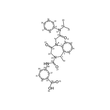 CC1c2ccccc2N(CC(=O)N(c2ccccc2)C(C)C)C(=O)CN1C(=O)Nc1cccc(C(=O)O)c1